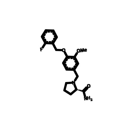 COc1cc(CN2CCC[C@H]2C(N)=O)ccc1OCc1ccccc1F